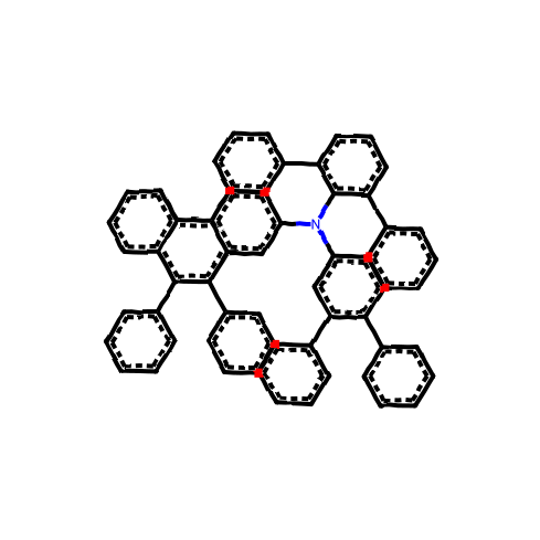 c1ccc(-c2ccc(N(c3ccc4c(c3)c(-c3ccccc3)c(-c3ccccc3)c3ccccc34)c3c(-c4ccccc4)cccc3-c3ccccc3)cc2-c2ccccc2)cc1